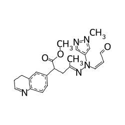 COC(=O)C(C/C(C)=N/N(/C=C\C=O)c1cnn(C)c1)c1ccc2c(c1)CCC=N2